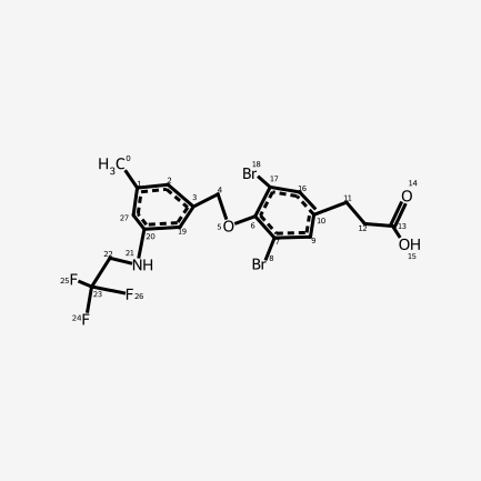 Cc1cc(COc2c(Br)cc(CCC(=O)O)cc2Br)cc(NCC(F)(F)F)c1